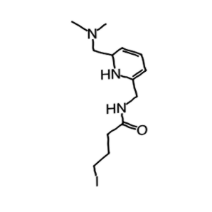 CN(C)CC1C=CC=C(CNC(=O)CCCI)N1